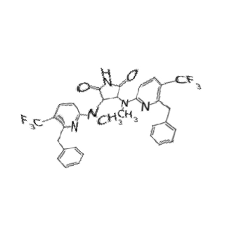 CN(c1ccc(C(F)(F)F)c(Cc2ccccc2)n1)C1C(=O)NC(=O)C1N(C)c1ccc(C(F)(F)F)c(Cc2ccccc2)n1